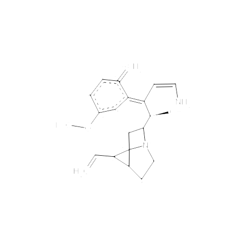 C=CC1C2CCN3C([C@H](O)C(/C=C\N)=c4\cc(OC)ccc4=C)CC123